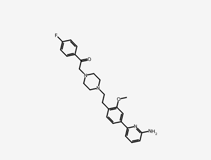 COc1cc(-c2cccc(N)n2)ccc1CCN1CCN(CC(=O)c2ccc(F)cc2)CC1